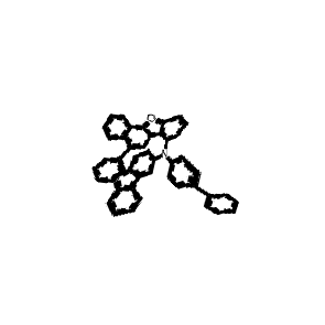 c1ccc(-c2ccc(N(c3ccc4oc5ccccc5c4c3)c3cccc4oc5c6ccccc6c(-c6ccccc6)cc5c34)cc2)cc1